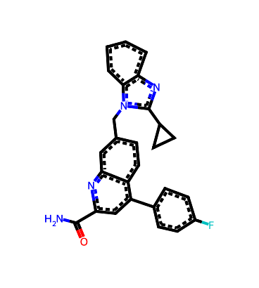 NC(=O)c1cc(-c2ccc(F)cc2)c2ccc(Cn3c(C4CC4)nc4ccccc43)cc2n1